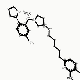 Cc1ccc([C@H]2CCCO2)c([C@H](C(=O)O)N2CC[C@@H](OCCCCCc3ccc4c(n3)NCCC4)C2)c1